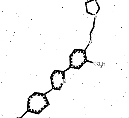 O=C(O)c1cc(-c2ccc(-c3ccc(Cl)cc3)cn2)ccc1OCCN1CCCC1